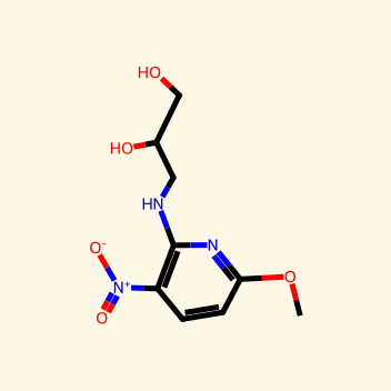 COc1ccc([N+](=O)[O-])c(NCC(O)CO)n1